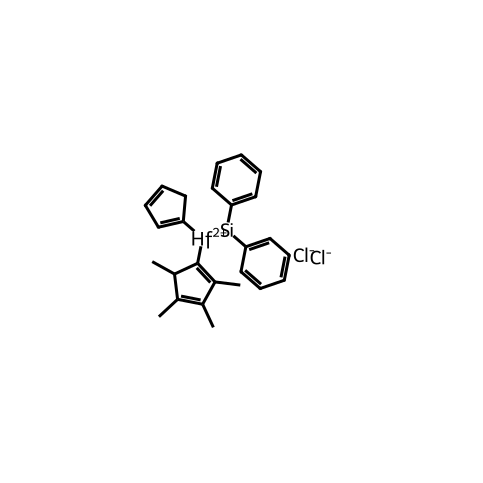 CC1=C(C)C(C)[C]([Hf+2]([C]2=CC=CC2)=[Si](c2ccccc2)c2ccccc2)=C1C.[Cl-].[Cl-]